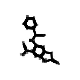 O=C1Cc2cc(NC(=O)c3ccncc3)c([N+](=O)[O-])cc2N1